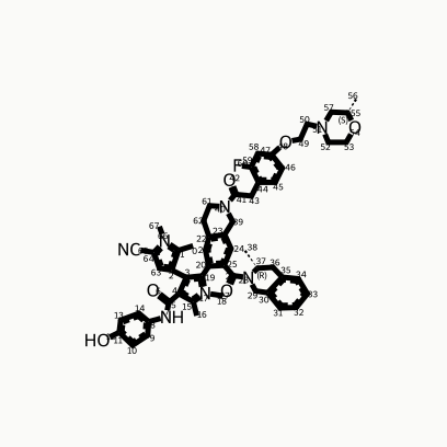 Cc1c(-c2c(C(=O)Nc3ccc(O)cc3)c(C)n(C)c2-c2cc3c(cc2C(=O)N2Cc4ccccc4C[C@H]2C)CN(C(=O)Cc2ccc(OCCN4CCO[C@@H](C)C4)cc2F)CC3)cc(C#N)n1C